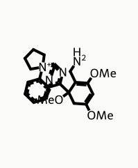 COC1=CC(OC)=C(CN)C(OC)(c2nc3nc4cccc(c24)[N+]32CCCC2)C1